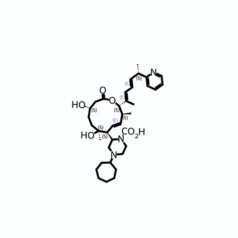 C/C(=C\C=C\[C@H](C)c1ccccn1)[C@H]1OC(=O)C[C@@H](O)CC[C@](C)(O)[C@H](C2CN(C3CCCCCC3)CCN2C(=O)O)/C=C/[C@@H]1C